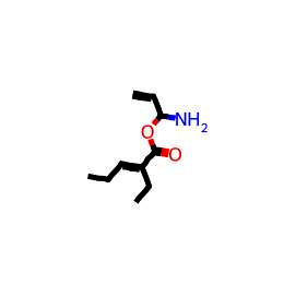 C=CC(N)OC(=O)C(=CCC)CC